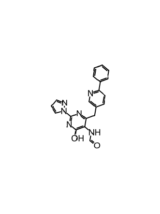 O=CNc1c(O)nc(-n2cccn2)nc1Cc1ccc(-c2ccccc2)nc1